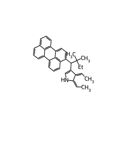 C/C=c1/c(C(c2ccc3c4cccc5cccc(c6cccc2c63)c54)C(C)(C)CC)c[nH]/c1=C/C